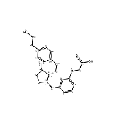 O=C(O)COc1cccc(C[C@H]2CCC(Cl)[C@@H]2COc2ccc(CCO)cc2)c1